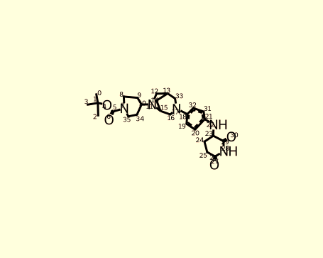 CC(C)(C)OC(=O)N1CCC(N2CC3CC2CN(c2ccc(NC4CCC(=O)NC4=O)cc2)C3)CC1